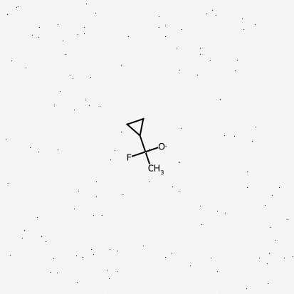 CC([O])(F)C1CC1